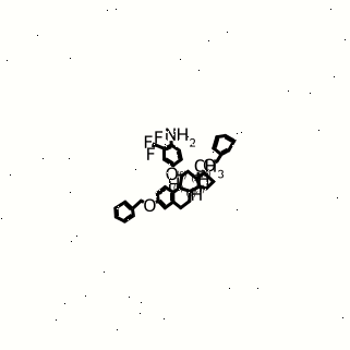 C[C@]12C[C@H](Oc3ccc(N)c(C(F)(F)F)c3)[C@@H]3c4ccc(OCc5ccccc5)cc4CC[C@H]3[C@@H]1CC[C@@H]2OCc1ccccc1